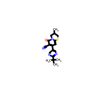 CC1CSc2cc(-c3cnc(C(C)(C)C)nc3)c(C#N)c(=O)n2C1